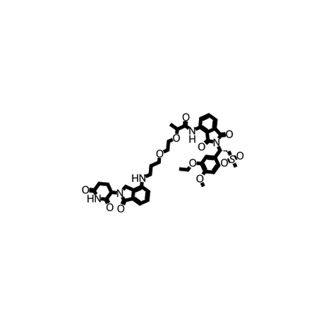 CCOc1cc([C@@H](CS(C)(=O)=O)N2C(=O)c3cccc(NC(=O)C(C)OCCOCCCNc4cccc5c4CN(C4CCC(=O)NC4=O)C5=O)c3C2=O)ccc1OC